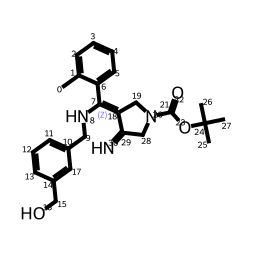 Cc1ccccc1/C(NCc1cccc(CO)c1)=C1\CN(C(=O)OC(C)(C)C)CC1=N